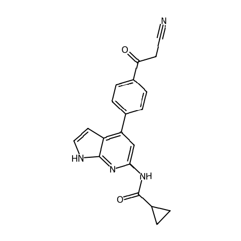 N#CCC(=O)c1ccc(-c2cc(NC(=O)C3CC3)nc3[nH]ccc23)cc1